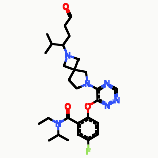 CCN(C(=O)c1cc(F)ccc1Oc1nncnc1N1CCC2(C1)CN(C(CCC=O)C(C)C)C2)C(C)C